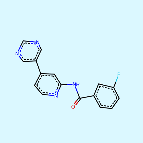 O=C(Nc1cc(-c2cncnc2)ccn1)c1cccc(F)c1